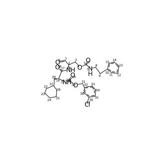 O=CC(COC(=O)NCCc1ccccc1)NC(=O)[C@H](CC1CCCCC1)NC(=O)OCc1cccc(Cl)c1